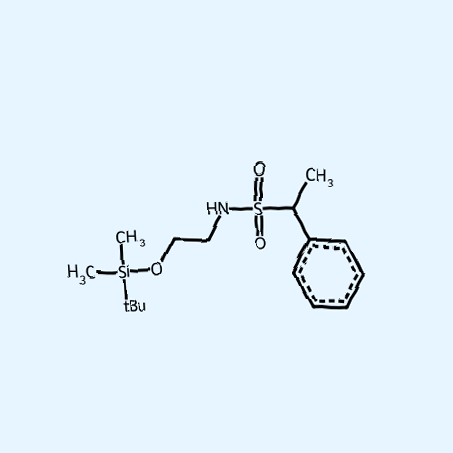 CC(c1ccccc1)S(=O)(=O)NCCO[Si](C)(C)C(C)(C)C